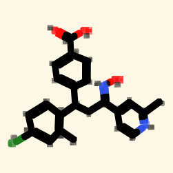 Cc1cc(C(CC(c2ccc(C(=O)O)cc2)c2ccc(Cl)cc2C)=NO)ccn1